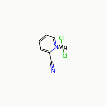 N#Cc1cc[c]cn1.[Cl][Mg][Cl]